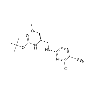 COC[C@@H](CNc1cnc(C#N)c(Cl)n1)NC(=O)OC(C)(C)C